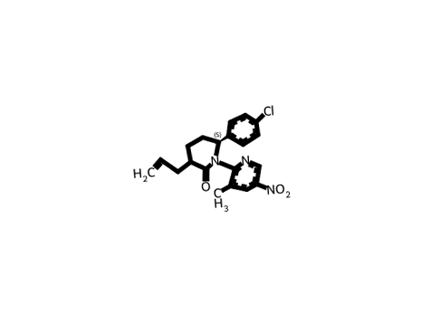 C=CCC1CC[C@@H](c2ccc(Cl)cc2)N(c2ncc([N+](=O)[O-])cc2C)C1=O